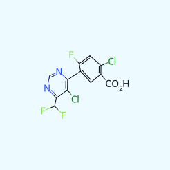 O=C(O)c1cc(-c2ncnc(C(F)F)c2Cl)c(F)cc1Cl